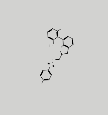 Cc1ccc(S(=O)(=O)OCC2Cc3cccc(-c4c(C)cccc4C)c3O2)cc1